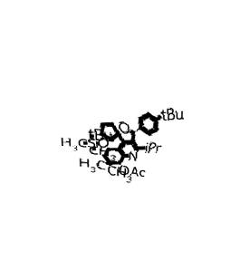 CC(=O)O[C@H]1c2nc(C(C)C)c3c(c2[C@@H](O[Si](C)(C)C(C)(C)C)CC1(C)C)C1(CCCC1)O[C@@H]3c1ccc(C(C)(C)C)cc1